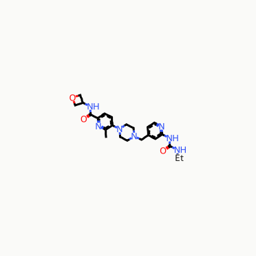 CCNC(=O)Nc1cc(CN2CCN(c3ccc(C(=O)NC4COC4)nc3C)CC2)ccn1